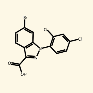 O=C(O)c1nn(-c2ccc(Cl)cc2Cl)c2cc(Br)ccc12